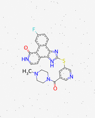 CN1CCN(C(=O)c2cncc(Sc3nc4c5ccc(F)cc5c5c(=O)[nH]ccc5c4[nH]3)c2)CC1